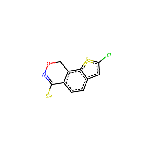 SC1=NOCc2c1ccc1cc(Cl)sc21